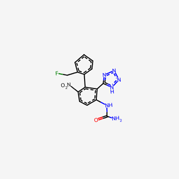 NC(=O)Nc1ccc([N+](=O)[O-])c(-c2ccccc2CF)c1-c1nnn[nH]1